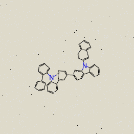 c1ccc(-c2ccccc2-n2c3ccccc3c3cc(-c4ccc5c6ccccc6n(-c6ccc7ccccc7c6)c5c4)ccc32)cc1